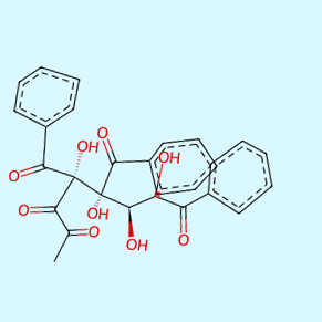 CC(=O)C(=O)[C@@](O)(C(=O)c1ccccc1)[C@@](O)(C(=O)c1ccccc1)[C@H](O)C(O)C(=O)c1ccccc1